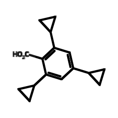 O=C(O)c1c(C2CC2)cc(C2CC2)cc1C1CC1